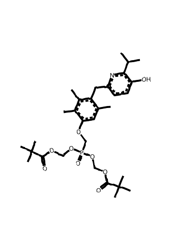 Cc1cc(OCP(=O)(OCOC(=O)C(C)(C)C)OCOC(=O)C(C)(C)C)c(C)c(C)c1Cc1ccc(O)c(C(C)C)n1